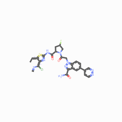 C=N/C(Cl)=c1/nc(NC(=O)C2CC(F)CN2C(=O)Cn2nc(C(N)=O)c3cc(-c4ccnnc4)ccc32)s/c1=C/C